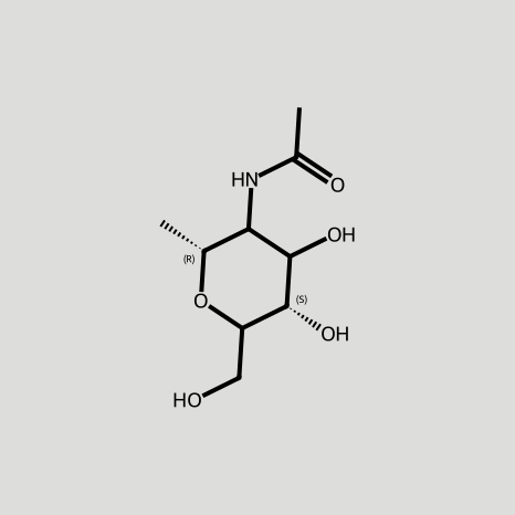 CC(=O)NC1C(O)[C@H](O)C(CO)O[C@@H]1C